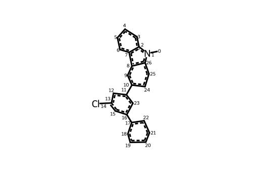 Cn1c2ccccc2c2cc(-c3cc(Cl)cc(-c4ccccc4)c3)ccc21